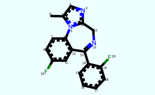 Cc1cnc2n1-c1ccc(F)cc1C(c1ccccc1F)=NC2